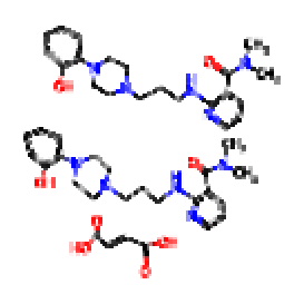 CN(C)C(=O)c1cccnc1NCCCN1CCN(c2ccccc2O)CC1.CN(C)C(=O)c1cccnc1NCCCN1CCN(c2ccccc2O)CC1.O=C(O)C=CC(=O)O